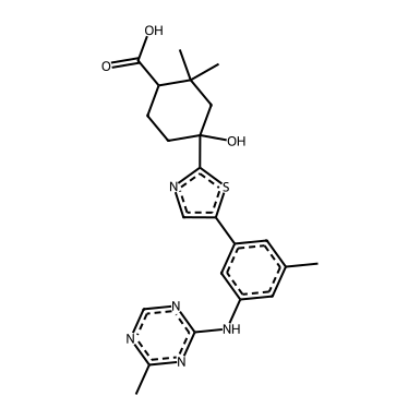 Cc1cc(Nc2ncnc(C)n2)cc(-c2cnc(C3(O)CCC(C(=O)O)C(C)(C)C3)s2)c1